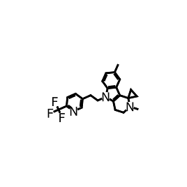 Cc1ccc2c(c1)c1c(n2CCc2ccc(C(F)(F)F)nc2)CCN(C)C12CC2